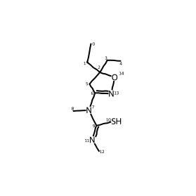 CCC1(CC)CC(N(C)C(S)=NC)=NO1